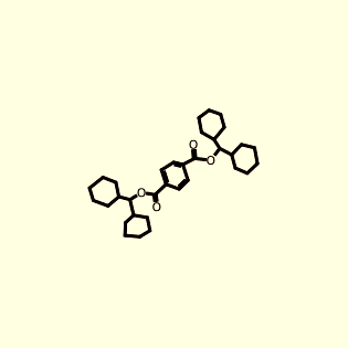 O=C(OC(C1CCCCC1)C1CCCCC1)c1ccc(C(=O)OC(C2CCCCC2)C2CCCCC2)cc1